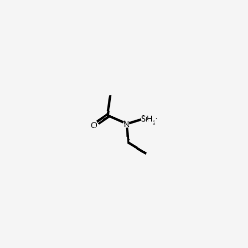 CCN([SiH2])C(C)=O